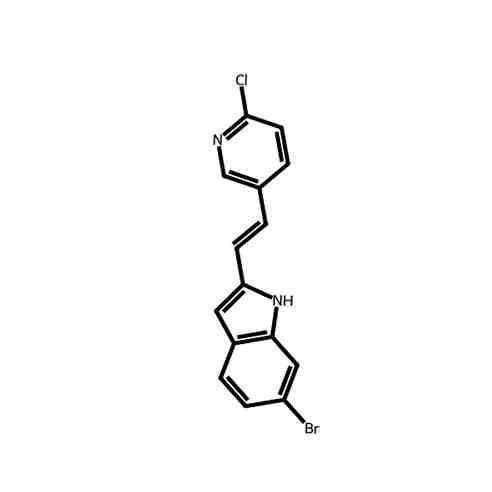 Clc1ccc(C=Cc2cc3ccc(Br)cc3[nH]2)cn1